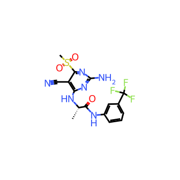 C[C@H](Nc1nc(N)nc(S(C)(=O)=O)c1C#N)C(=O)Nc1cccc(C(F)(F)F)c1